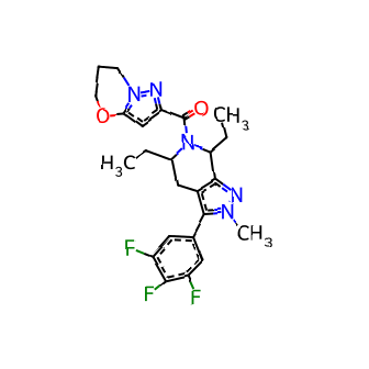 CCC1Cc2c(nn(C)c2-c2cc(F)c(F)c(F)c2)C(CC)N1C(=O)c1cc2n(n1)CCCO2